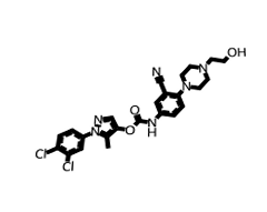 Cc1c(OC(=O)Nc2ccc(N3CCN(CCO)CC3)c(C#N)c2)cnn1-c1ccc(Cl)c(Cl)c1